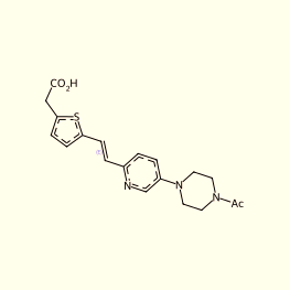 CC(=O)N1CCN(c2ccc(/C=C/c3ccc(CC(=O)O)s3)nc2)CC1